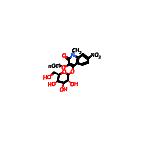 CCCCCCCCOc1c(O[C@@H]2O[C@H](CO)[C@@H](O)[C@H](O)[C@H]2O)c2ccc([N+](=O)[O-])cc2n(C)c1=O